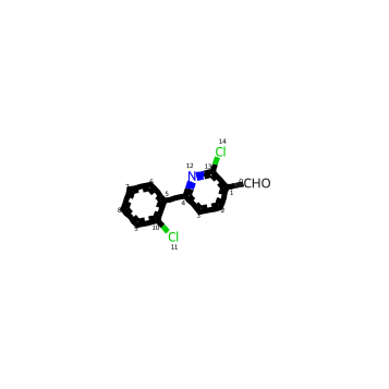 O=Cc1ccc(-c2ccccc2Cl)nc1Cl